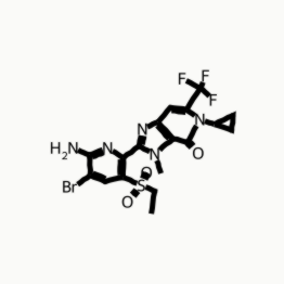 CCS(=O)(=O)c1cc(Br)c(N)nc1-c1nc2cc(C(F)(F)F)n(C3CC3)c(=O)c2n1C